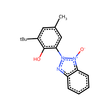 Cc1cc(-n2nc3ccccc3[n+]2[O-])c(O)c(C(C)(C)C)c1